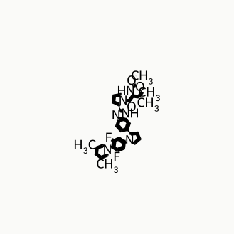 COC(=O)NC(C(=O)N1CCC[C@H]1c1nc2ccc([C@H]3CCCN3c3cc(F)c(N4CC(C)CC(C)C4)c(F)c3)cc2[nH]1)C(C)C